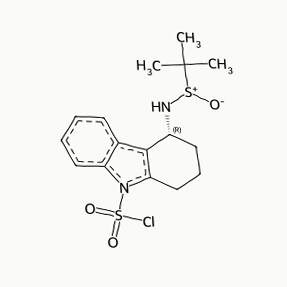 CC(C)(C)[S+]([O-])N[C@@H]1CCCc2c1c1ccccc1n2S(=O)(=O)Cl